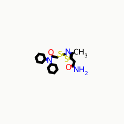 Cc1nc(SCC(=O)N(C2CCCCC2)C2CCCCC2)sc1CC(N)=O